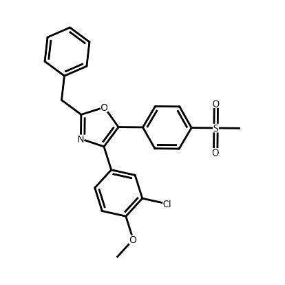 COc1ccc(-c2nc(Cc3ccccc3)oc2-c2ccc(S(C)(=O)=O)cc2)cc1Cl